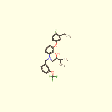 CCc1cc(Oc2cccc(N(Cc3cccc(OC(F)(F)F)c3)CC(O)C(C)C)c2)ccc1Cl